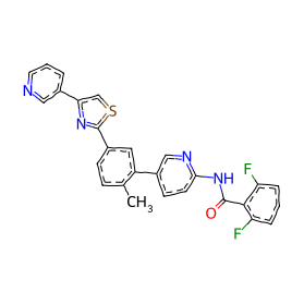 Cc1ccc(-c2nc(-c3cccnc3)cs2)cc1-c1ccc(NC(=O)c2c(F)cccc2F)nc1